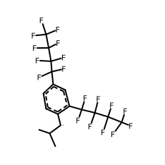 CC(C)[CH]c1ccc(C(F)(F)C(F)(F)C(F)(F)C(F)(F)F)cc1C(F)(F)C(F)(F)C(F)(F)C(F)(F)F